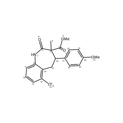 COC(=O)C1(C)C(=O)Nc2cccc(C(F)(F)F)c2CC1c1ccc(OC)cc1